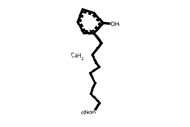 CCCCCCCCCCCCCCCCc1ccccc1O.[CaH2]